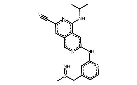 CC(C)Nc1nc(C#N)cc2cnc(Nc3cc(CS(C)=N)ccn3)cc12